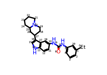 CCc1cccc(NC(=O)Nc2ccc3[nH]cc(C4CCN5CCCCC5C4)c3c2)c1